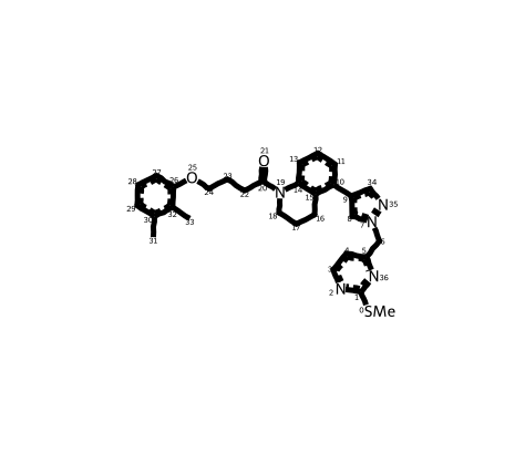 CSc1nccc(Cn2cc(-c3cccc4c3CCCN4C(=O)CCCOc3cccc(C)c3C)cn2)n1